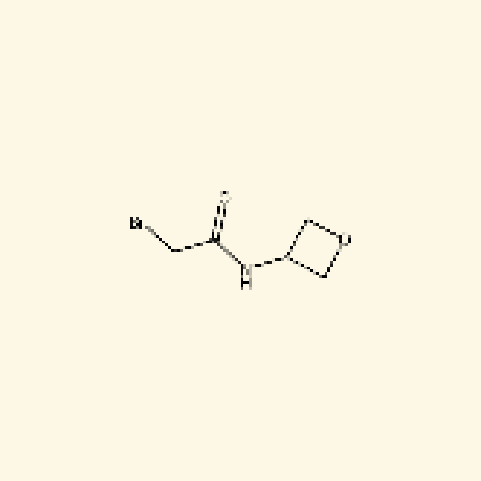 O=C(CBr)NC1COC1